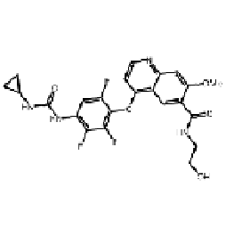 COc1cc2nccc(Oc3c(F)cc(NC(=O)NC4CC4)c(F)c3F)c2cc1C(=O)NCCO